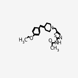 CCOc1ccc(C=C2CCN(Cc3cnc(NC(C)=O)s3)CC2)cc1